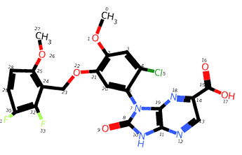 COc1cc(Cl)c(-n2c(=O)[nH]c3ncc(C(=O)O)nc32)cc1OCc1c(OC)ccc(F)c1F